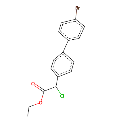 CCOC(=O)C(Cl)c1ccc(-c2ccc(Br)cc2)cc1